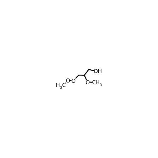 COOCC(CO)OC